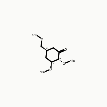 CCCCOC[C@H]1CC(=O)[C@H](OCCCC)[C@@H](OCCCC)C1